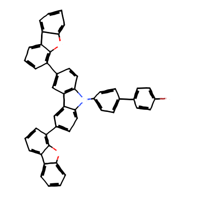 Brc1ccc(-c2ccc(-n3c4ccc(-c5cccc6c5oc5ccccc56)cc4c4cc(-c5cccc6c5oc5ccccc56)ccc43)cc2)cc1